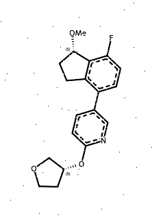 CO[C@H]1CCc2c(-c3ccc(O[C@@H]4CCOC4)nc3)ccc(F)c21